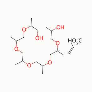 C=CC(=O)O.CC(O)COC(C)COC(C)COC(C)COC(C)COC(C)CO